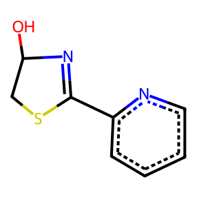 OC1CSC(c2ccccn2)=N1